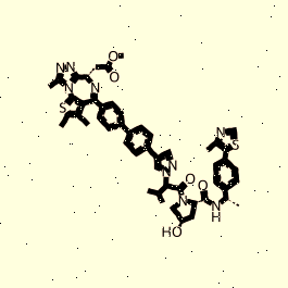 COC(=O)C[C@@H]1N=C(c2ccc(-c3ccc(-c4cnn(C(C(=O)N5C[C@H](O)C[C@H]5C(=O)N[C@@H](C)c5ccc(-c6scnc6C)cc5)C(C)C)c4)cc3)cc2)c2c(sc(C)c2C)-n2c(C)nnc21